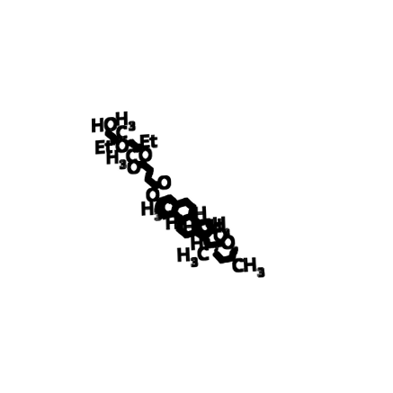 CCC(C)(CO)OCC(C)(CC)OC(=O)CCC(=O)O[C@H]1CC[C@@]2(C)C(=CC[C@H]3[C@H]4C[C@@H]5O[C@]6(CC[C@@H](C)CO6)[C@@H](C)[C@H]5[C@@]4(C)CC[C@@H]32)C1